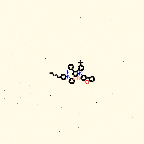 CCCCCc1ccc(Nc2ccccc2-c2cc(-c3ccccc3)c3c4cc(C(C)(C)C)ccc4n4c3c2Bc2cc3oc5ccccc5c3cc2-4)cc1